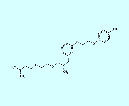 Cc1ccc(OCCOc2cccc(C[C@H](C)COCCOCCC(C)C)c2)cc1